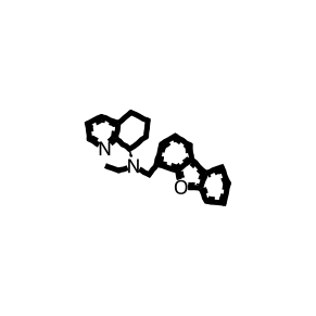 CCN(Cc1cccc2c1oc1ccccc12)[C@H]1CCCc2cccnc21